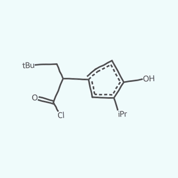 CC(C)c1cc(C(CC(C)(C)C)C(=O)Cl)ccc1O